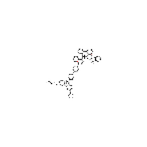 CCCCCc1ccc2c(c1)c1cc(C3CCCC3)ccc1n2-c1ccc(-c2ccc(-c3ccc(N(c4ccc5c(c4)C(C)(C)c4ccccc4-5)c4c(-c5ccccc5)cccc4-c4ccccc4)cc3)cc2)cc1